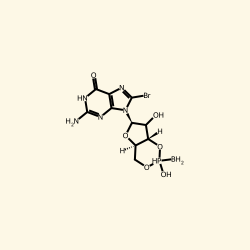 B[PH]1(O)OC[C@H]2O[C@@H](n3c(Br)nc4c(=O)[nH]c(N)nc43)C(O)[C@@H]2O1